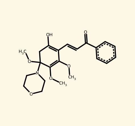 COC1=C(OC)C(OC)(N2CCOCC2)CC(O)=C1/C=C/C(=O)c1ccccc1